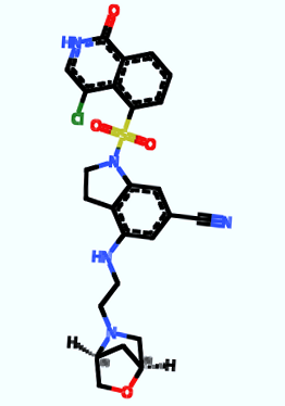 N#Cc1cc(NCCN2C[C@@H]3C[C@H]2CO3)c2c(c1)N(S(=O)(=O)c1cccc3c(=O)[nH]cc(Cl)c13)CC2